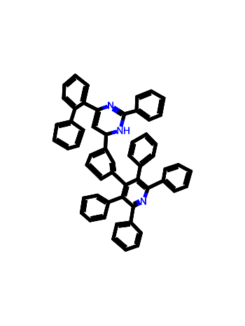 C1=C(c2ccccc2-c2ccccc2)N=C(c2ccccc2)NC1c1cccc(-c2c(-c3ccccc3)c(-c3ccccc3)nc(-c3ccccc3)c2-c2ccccc2)c1